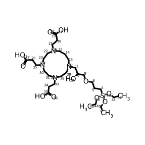 CCO[Si](CCCOCC(O)CN1CCCN(CCC(=O)O)CCN(CCC(=O)O)CCN(CCC(=O)O)CC1)(OCC)OCC